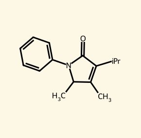 CC1=C(C(C)C)C(=O)N(c2ccccc2)C1C